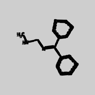 CNCN=C(c1ccccc1)c1ccccc1